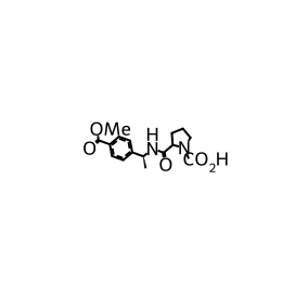 COC(=O)c1ccc([C@H](C)NC(=O)C2CCCN2C(=O)O)cc1